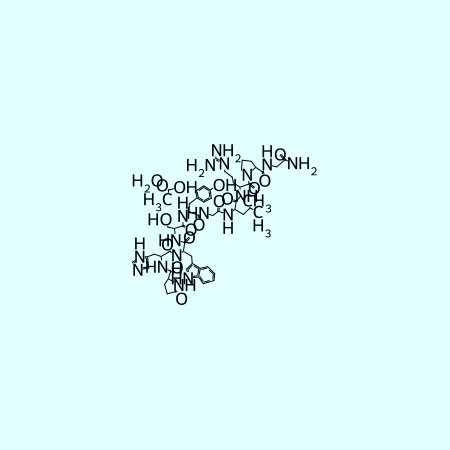 CC(=O)O.CC(C)CC(NC(=O)CNC(=O)C(Cc1ccc(O)cc1)NC(=O)C(CO)NC(=O)C(Cc1c[nH]c2ccccc12)NC(=O)C(Cc1cnc[nH]1)NC(=O)C1CCC(=O)N1)C(=O)NC(CCCN=C(N)N)C(=O)N1CCCC1C(=O)NCC(N)=O.O